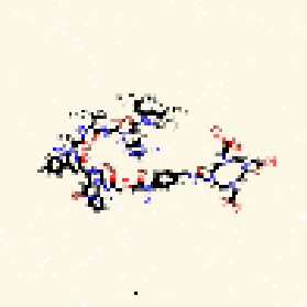 CC(C)CC(CC(C)C)NC(=O)[C@H](Cc1cnc[nH]1)NC(=O)CNC(=O)[C@@H](NC(=O)[C@H](C)NC(=O)[C@H](Cc1c[nH]c2ccccc12)[C@H](CCC(N)=O)NC(=O)[C@@H](Cc1ccccc1)NC(=O)COCC(=O)Nc1ccc(CNC(=O)CN2CCN(CC(=O)O)CCN(CC(=O)O)CCN(CC(=O)O)CC2)cc1)C(C)C